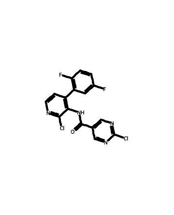 O=C(Nc1c(-c2cc(F)ccc2F)ccnc1Cl)c1cnc(Cl)nc1